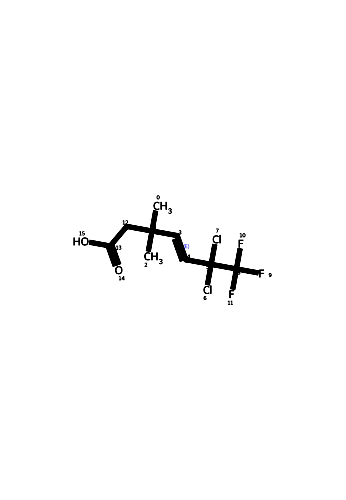 CC(C)(/C=C/C(Cl)(Cl)C(F)(F)F)CC(=O)O